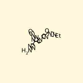 CCN1CCN(C(=O)c2ccc(-n3ccc4c(-c5cnc(N)nc5)nc(N5CCOCC5)nc43)cn2)CC1